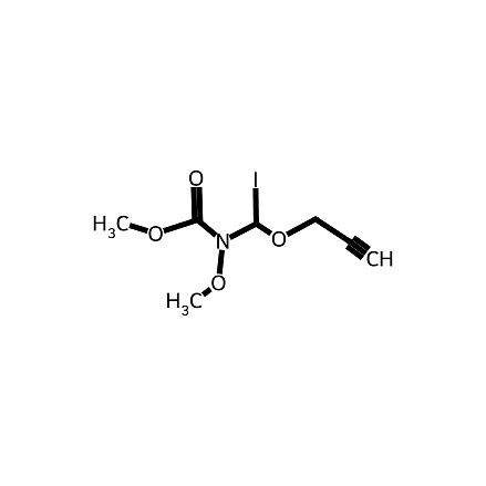 C#CCOC(I)N(OC)C(=O)OC